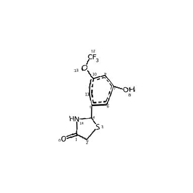 O=C1CSC(c2cc(O)cc(OC(F)(F)F)c2)N1